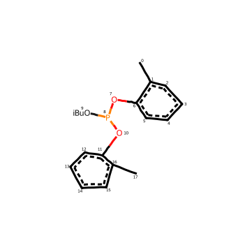 Cc1ccccc1OP(OCC(C)C)Oc1ccccc1C